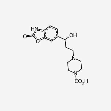 O=C(O)N1CCN(CCC(O)c2ccc3[nH]c(=O)oc3c2)CC1